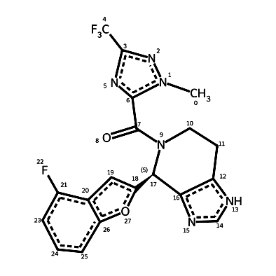 Cn1nc(C(F)(F)F)nc1C(=O)N1CCc2[nH]cnc2[C@H]1c1cc2c(F)cccc2o1